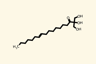 CCCCCCC=CCCCCCCCC(=O)C(O)(CO)CO